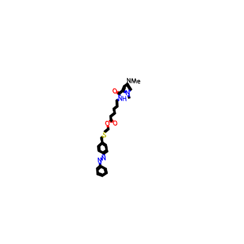 CNc1cc(C(=O)NCCCCCC(=O)OCCSCc2ccc(N=Nc3ccccc3)cc2)n(C)c1